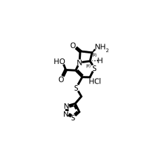 Cl.N[C@@H]1C(=O)N2C(C(=O)O)=C(SCc3csnn3)CS[C@H]12